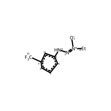 CC/[N+]([O-])=N/Nc1cccc(C(F)(F)F)c1